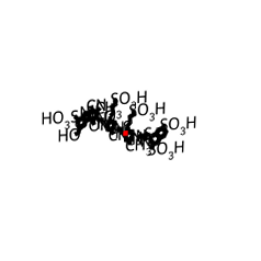 Cc1cc(N=Nc2cc(OCCCS(=O)(=O)O)c(N=Nc3c(C)c(C#N)c4nc5c(S(=O)(=O)O)cc(CO)cc5n4c3O)cc2C)c(SCCCS(=O)(=O)O)cc1N=Nc1nc2c(S(=O)(=O)O)cc3ccc(S(=O)(=O)O)cc3c2s1